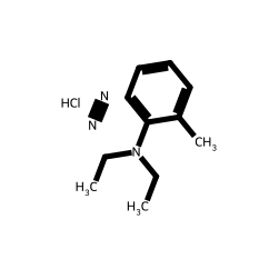 CCN(CC)c1ccccc1C.Cl.N#N